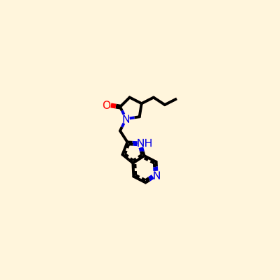 CCCC1CC(=O)N(Cc2cc3ccncc3[nH]2)C1